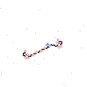 O=C(CCCCn1cc(COCCOCCOCCOCCC(=O)ON2C(=O)CCC2=O)nn1)ON1C(=O)CCC1=O